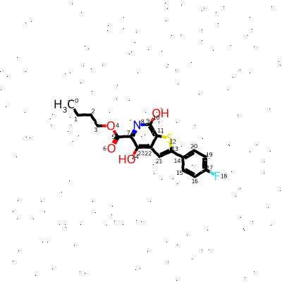 CCCCOC(=O)c1nc(O)c2sc(-c3ccc(F)cc3)cc2c1O